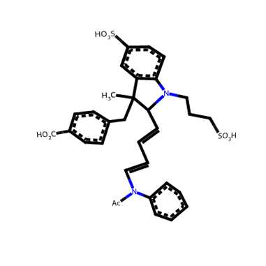 CC(=O)N(/C=C/C=C/C1N(CCCS(=O)(=O)O)c2ccc(S(=O)(=O)O)cc2C1(C)Cc1ccc(C(=O)O)cc1)c1ccccc1